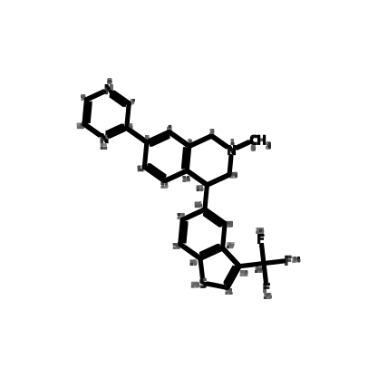 CN1Cc2cc(-c3cnccn3)ccc2C(c2ccc3scc(C(F)(F)F)c3c2)C1